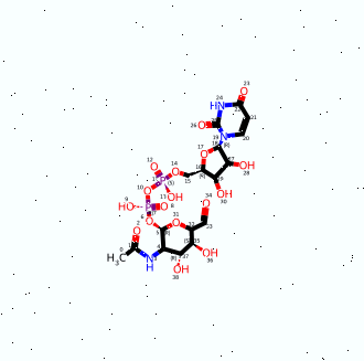 CC(=O)NC1[C@@H](O[P@@](=O)(O)O[P@@](=O)(O)OC[C@H]2O[C@@H](n3ccc(=O)[nH]c3=O)C(O)C2O)OC(C=O)[C@@H](O)[C@@H]1O